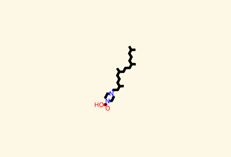 CC(C)CCCC(C)CCCC(C)CCCC(C)CCN1CCN(C(=O)O)CC1